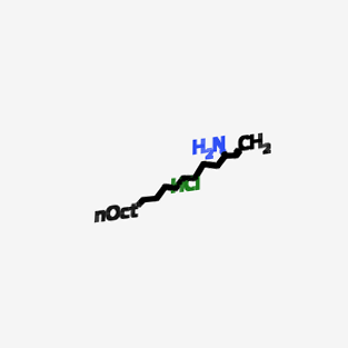 C=CC(N)CCCCCCCCCCCCCCCC.Cl